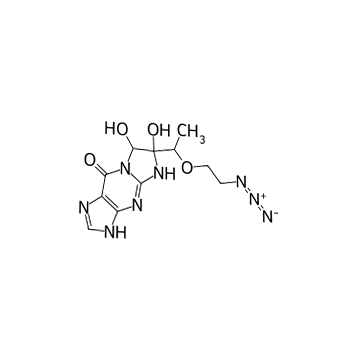 CC(OCCN=[N+]=[N-])C1(O)Nc2nc3[nH]cnc3c(=O)n2C1O